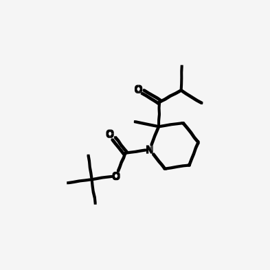 CC(C)C(=O)C1(C)CCCCN1C(=O)OC(C)(C)C